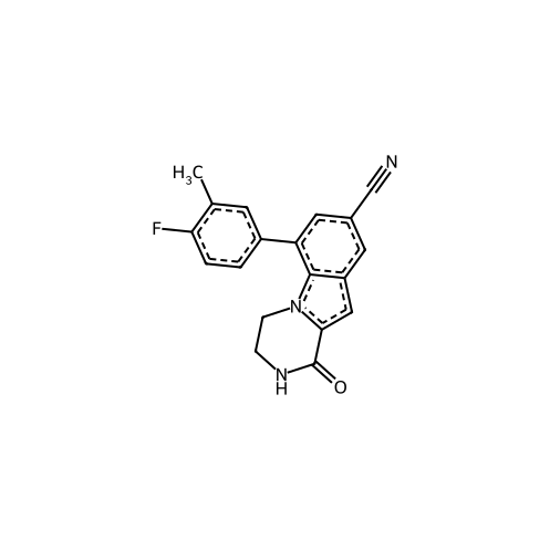 Cc1cc(-c2cc(C#N)cc3cc4n(c23)CCNC4=O)ccc1F